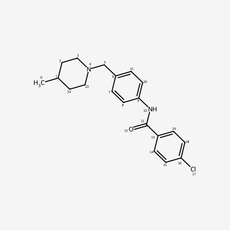 CC1CCN(Cc2ccc(NC(=O)c3ccc(Cl)cc3)cc2)CC1